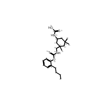 CCCCc1ccccc1OC(=S)NCC1(C)CC(NC(O)=S)CC(C)(C)C1